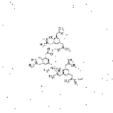 CN(C)Cc1cc(CN(C)C)c([O-])c(CN(C)C)c1.CN(C)Cc1cc(CN(C)C)c([O-])c(CN(C)C)c1.CN(C)Cc1cc(CN(C)C)c([O-])c(CN(C)C)c1.[La+3]